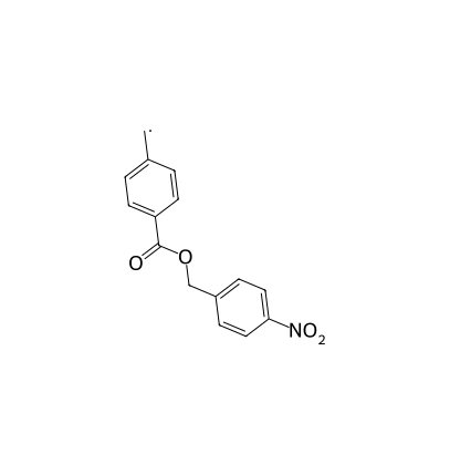 [CH2]c1ccc(C(=O)OCc2ccc([N+](=O)[O-])cc2)cc1